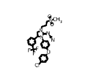 CS(=O)(=O)CCCN1CC(c2cccc(C(F)(F)F)c2)N(c2ccc(Oc3ccc(Cl)cc3)cc2)C1=NC#N